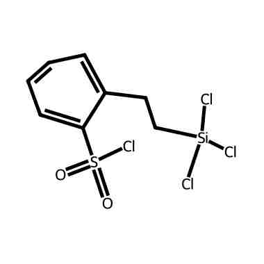 O=S(=O)(Cl)c1ccccc1CC[Si](Cl)(Cl)Cl